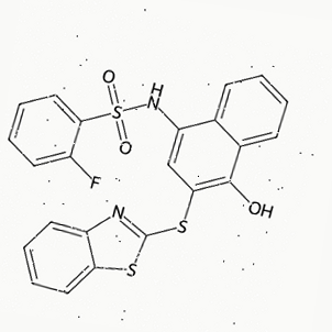 O=S(=O)(Nc1cc(Sc2nc3ccccc3s2)c(O)c2ccccc12)c1ccccc1F